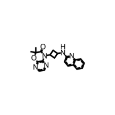 CC1(C)Oc2nccnc2N(C2CC(Nc3ccc4ccccc4n3)C2)C1=O